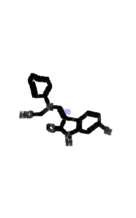 O=C1Nc2cc(Br)ccc2/C1=C/N(CO)c1ccccc1